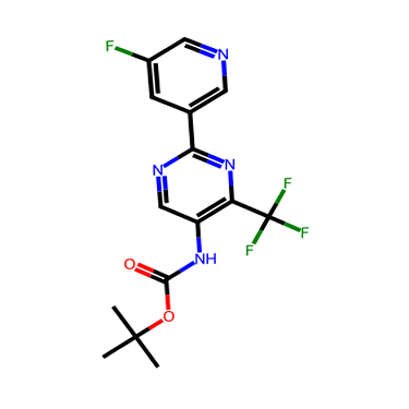 CC(C)(C)OC(=O)Nc1cnc(-c2cncc(F)c2)nc1C(F)(F)F